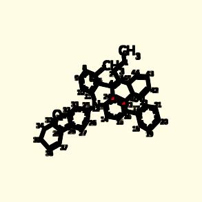 CCCC1=C(c2c(C)cccc2N(c2ccc(-c3ccccc3)cc2)c2ccc3c4c(oc3c2)CCC=C4)C=CC2C=CC=CC12